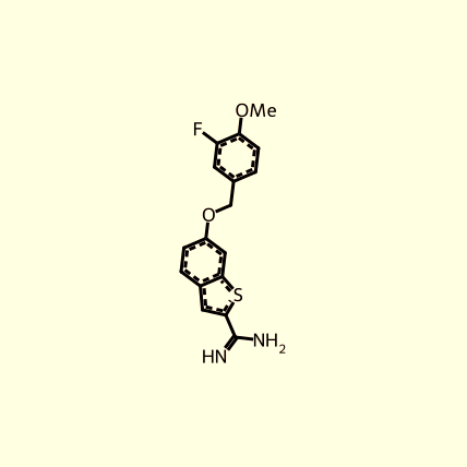 COc1ccc(COc2ccc3cc(C(=N)N)sc3c2)cc1F